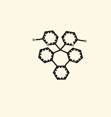 Brc1cccc(C2(c3cccc(Br)n3)c3ccccc3-c3ccccc3-c3ccccc32)n1